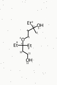 CCC(C)(O)CCOC(CC)(CC)CCO